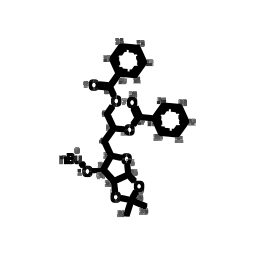 CCCCO[C@H]1C(CC(COC(=O)c2ccccc2)OC(=O)c2ccccc2)OC2OC(C)(C)OC21